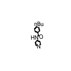 CCCCc1ccc(C(=O)Nc2ccncc2)cc1